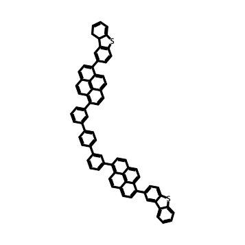 C1=CCC2C(=C1)Sc1ccc(-c3ccc4ccc5c(-c6cccc(-c7ccc(-c8cccc(-c9ccc%10ccc%11c(-c%12ccc%13sc%14ccccc%14c%13c%12)ccc%12ccc9c%10c%12%11)c8)cc7)c6)ccc6ccc3c4c65)cc12